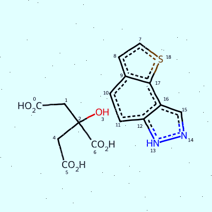 O=C(O)CC(O)(CC(=O)O)C(=O)O.c1cc2ccc3[nH]ncc3c2s1